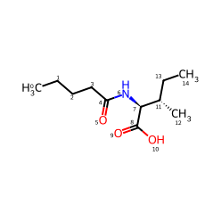 CCCCC(=O)N[C@H](C(=O)O)[C@@H](C)CC